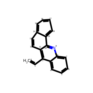 C=Cc1c2ccccc2nc2c1ccc1ccccc12